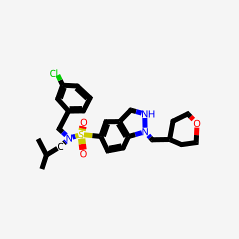 CC(C)CN(Cc1cccc(Cl)c1)S(=O)(=O)c1ccc2c(c1)CNN2CC1CCOCC1